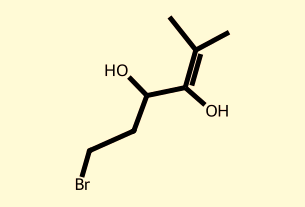 CC(C)=C(O)C(O)CCBr